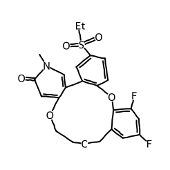 CCS(=O)(=O)c1ccc2c(c1)-c1cn(C)c(=O)cc1OCCCCc1cc(F)cc(F)c1O2